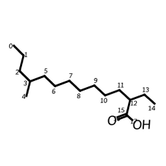 CCCC(C)CCCCCCCC(CC)C(=O)O